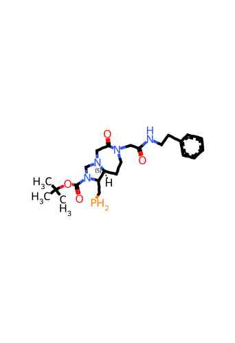 CC(C)(C)OC(=O)N1CN2CC(=O)N(CC(=O)NCCc3ccccc3)CC[C@H]2C1CP